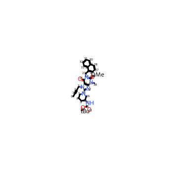 CC#CCn1c(N2CCCC(NC(=O)OC(C)(C)C)C2)nc2c1c(=O)n(Cc1c(OC)ccc3ccccc13)c(=O)n2C